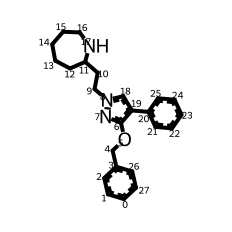 c1ccc(COc2nn(CCC3CCCCCN3)cc2-c2ccccc2)cc1